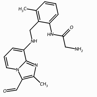 Cc1cccc(NC(=O)CN)c1CNc1cccn2c(C=O)c(C)nc12